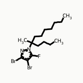 CCCCCCCC(C)(CCCC)n1nc(Br)c(Br)c1F